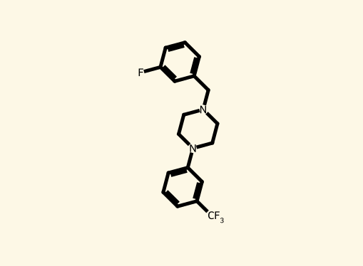 Fc1cccc(CN2CCN(c3cccc(C(F)(F)F)c3)CC2)c1